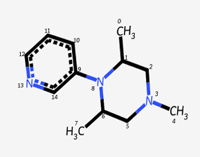 CC1CN(C)CC(C)N1c1cccnc1